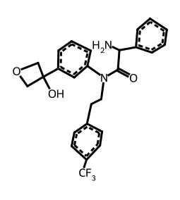 NC(C(=O)N(CCc1ccc(C(F)(F)F)cc1)c1cccc(C2(O)COC2)c1)c1ccccc1